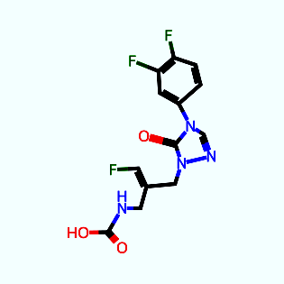 O=C(O)NCC(=CF)Cn1ncn(-c2ccc(F)c(F)c2)c1=O